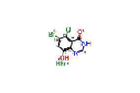 Br.O=c1[nH]cnc2c(O)cc(Br)c(Cl)c12